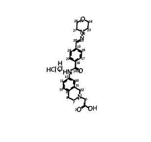 Cl.Cl.O=C(O)CN1CCc2ccc(NC(=O)c3ccc(C=NN4CCOCC4)cc3)cc2C1